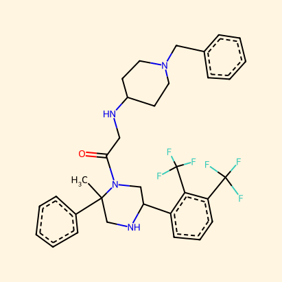 CC1(c2ccccc2)CNC(c2cccc(C(F)(F)F)c2C(F)(F)F)CN1C(=O)CNC1CCN(Cc2ccccc2)CC1